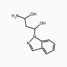 NC(O)CC(O)n1ncc2ccccc21